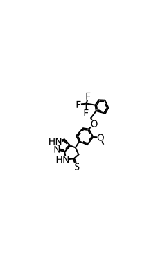 COc1cc(C2CC(=S)Nc3n[nH]cc32)ccc1OCc1ccccc1C(F)(F)F